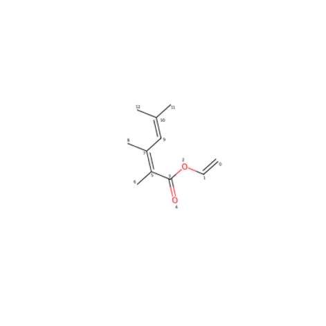 C=COC(=O)C(C)=C(C)C=C(C)C